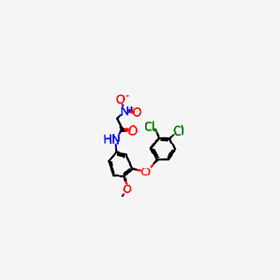 COc1ccc(NC(=O)C[N+](=O)[O-])cc1Oc1ccc(Cl)c(Cl)c1